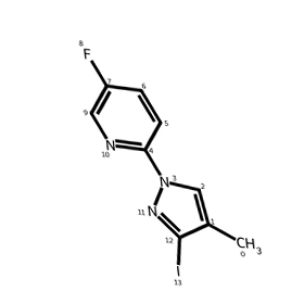 Cc1cn(-c2ccc(F)cn2)nc1I